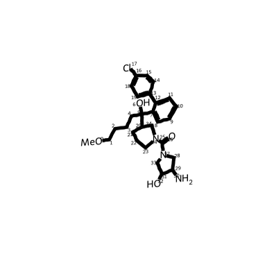 COCCCCC(O)(c1ccccc1-c1ccc(Cl)cc1)C1CCCN(C(=O)N2CC(N)C(O)C2)C1